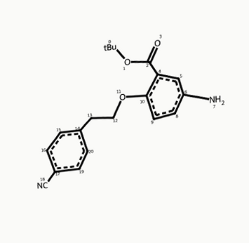 CC(C)(C)OC(=O)c1cc(N)ccc1OCCc1ccc(C#N)cc1